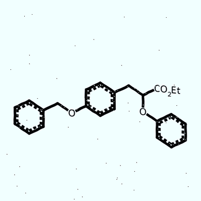 CCOC(=O)C(Cc1ccc(OCc2ccccc2)cc1)Oc1ccccc1